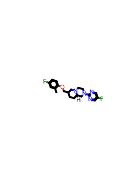 Cc1cc(F)ccc1OCC1CC[C@H]2CN(c3ncc(F)cn3)CCN2C1